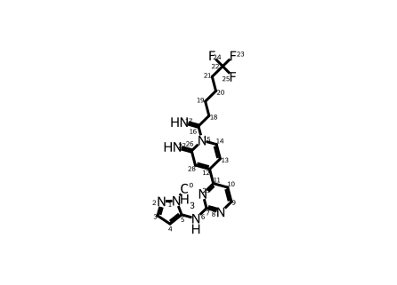 Cn1nccc1Nc1nccc(-c2ccn(C(=N)CCCCC(F)(F)F)c(=N)c2)n1